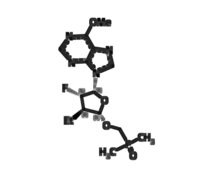 CC[C@@H]1[C@@H](OCP(C)(C)=O)O[C@@H](n2cnc3c(OC)ncnc32)[C@H]1F